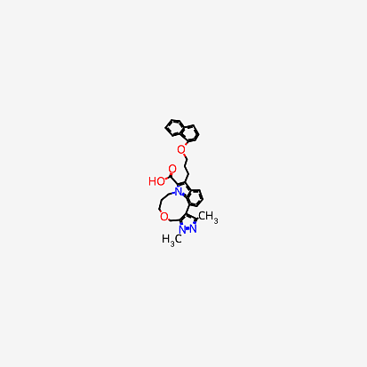 Cc1nn(C)c2c1-c1cccc3c(CCCOc4cccc5ccccc45)c(C(=O)O)n(c13)CCCOC2